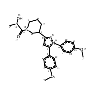 COc1ccc(-c2cc(C3CCCN(C(=O)N(C)O)C3)nn2-c2ccc(OC)cc2)cc1